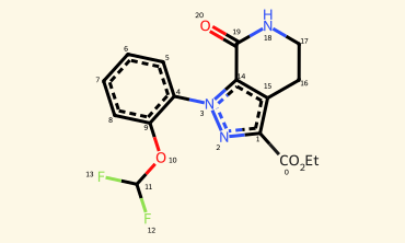 CCOC(=O)c1nn(-c2ccccc2OC(F)F)c2c1CCNC2=O